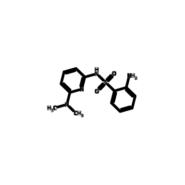 CN(C)c1cccc(NS(=O)(=O)c2ccccc2N)n1